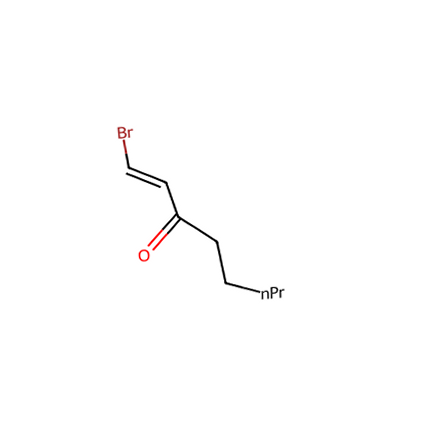 CCCCCC(=O)C=CBr